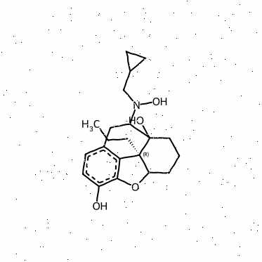 CCC[C@@]12c3c4ccc(O)c3OC1CCCC2(O)C(N(O)CC1CC1)C4